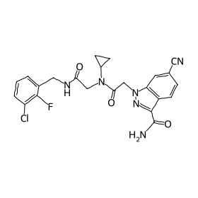 N#Cc1ccc2c(C(N)=O)nn(CC(=O)N(CC(=O)NCc3cccc(Cl)c3F)C3CC3)c2c1